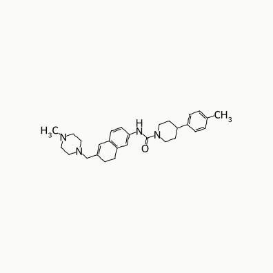 Cc1ccc(C2CCN(C(=O)Nc3ccc4c(c3)CCC(CN3CCN(C)CC3)=C4)CC2)cc1